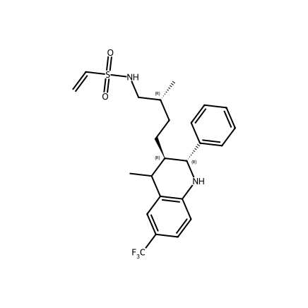 C=CS(=O)(=O)NC[C@H](C)CC[C@@H]1C(C)c2cc(C(F)(F)F)ccc2N[C@H]1c1ccccc1